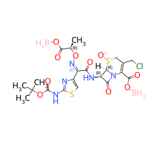 BOC(=O)C1=C(CCl)C[S+]([O-])[C@@H]2[C@H](NC(=O)/C(=N\O[C@H](C)C(=O)OB)c3csc(NC(=O)OC(C)(C)C)n3)C(=O)N12